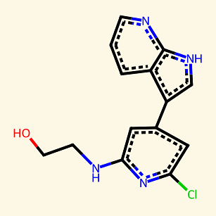 OCCNc1cc(-c2c[nH]c3ncccc23)cc(Cl)n1